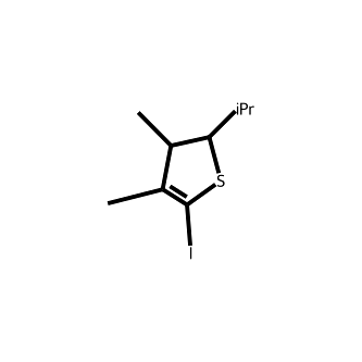 CC1=C(I)SC(C(C)C)C1C